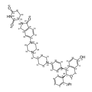 CC(C)c1ccccc1[C@@H]1OCc2cc(O)ccc2[C@@H]1c1ccc(N2CCC(CN3CCN(c4ccc5c(c4)CN([C@H]4CCC(=O)NC4=O)C5=O)CC3)CC2)cc1